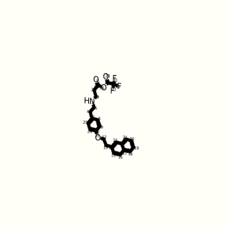 O=C(CCNCCc1ccc(OCCc2ccc3ccccc3c2)cc1)OC(=O)C(F)(F)F